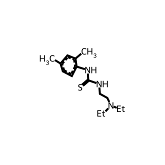 CCN(CC)CCNC(=S)Nc1ccc(C)cc1C